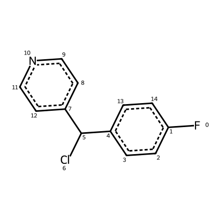 Fc1ccc(C(Cl)c2ccncc2)cc1